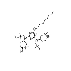 CCCCCCCCOc1nc(N(CC(C)(C)CC)C2CCNC(C)(C)C2)nc(N(CC(C)(C)CC)C2CCNC(C)(C)C2)n1